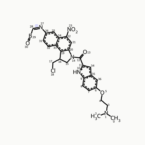 CN(C)CCOc1ccc2[nH]c(C(=O)N3CC(CCl)c4c3cc([N+](=O)[O-])c3cc(/N=C\B=O)ccc43)cc2c1